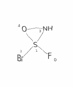 FS1(Br)NO1